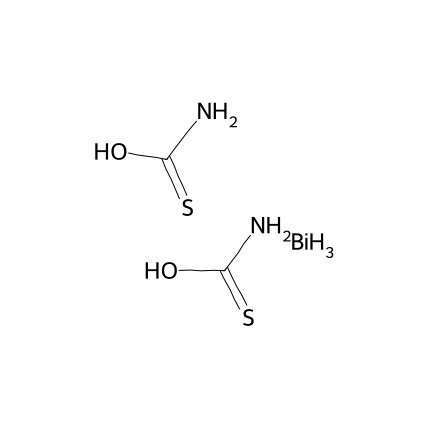 NC(O)=S.NC(O)=S.[BiH3]